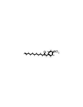 C=CCCCCCCCCC(=O)Cc1ccc([N+](=O)[O-])cc1